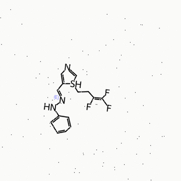 FC(F)=C(F)CC[SH]1C=NC=C1/C=N/Nc1ccccc1